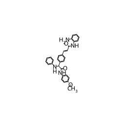 COc1ccc(NC(=O)C(Nc2ccccc2)c2ccc(C=CC(=O)Nc3ccccc3N)cc2)cc1